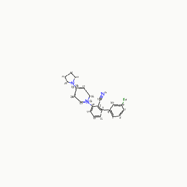 N#Cc1c(-c2cccc(F)c2)cccc1N1CCC(N2CCCC2)CC1